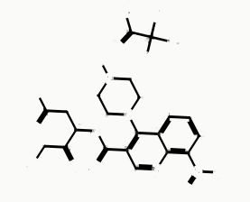 CN1CCN(c2c(C(=O)NC(CC(=O)O)C(=O)CF)cnc3c([N+](=O)[O-])cccc23)CC1.O=C(O)C(F)(F)F